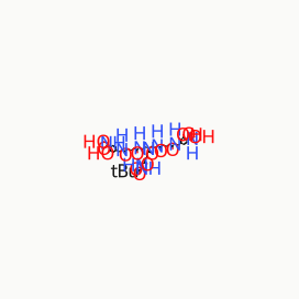 CC(C)(C)OC(=O)NNC(=O)CCCC(=O)N(CCNC(=O)CCCC(=O)NCc1ccc(C(=O)NO)c(O)c1)CCNC(=O)CCCC(=O)NCc1ccc(C(=O)NO)c(O)c1